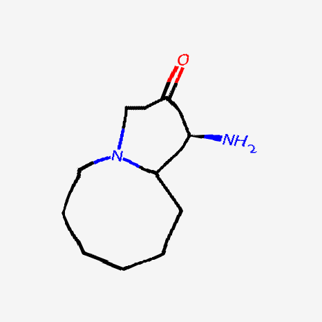 N[C@@H]1C(=O)CN2CCCCCCC12